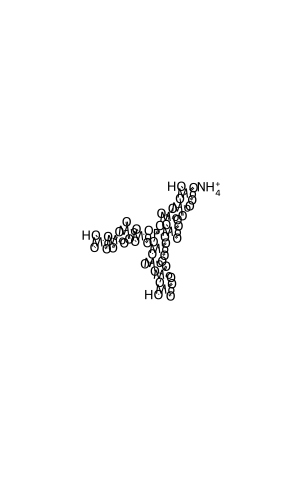 O=P([O][Mo](=[O])(=[O])[O][Mo](=[O])(=[O])[O][Mo](=[O])(=[O])[O][Mo](=[O])(=[O])[OH])([O][Mo](=[O])(=[O])[O][Mo](=[O])(=[O])[O][Mo](=[O])(=[O])[O][Mo](=[O])(=[O])[OH])[O][Mo](=[O])(=[O])[O][Mo](=[O])(=[O])[O][Mo](=[O])(=[O])[O][Mo](=[O])(=[O])[OH].[NH4+]